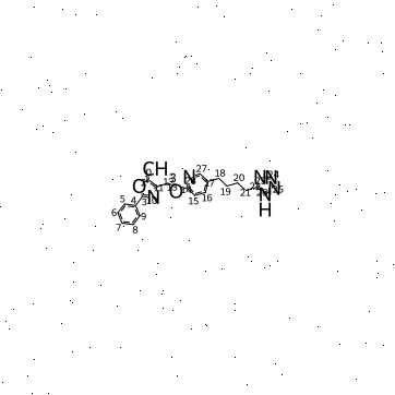 Cc1oc(-c2ccccc2)nc1COc1ccc(CCCCc2nnn[nH]2)cn1